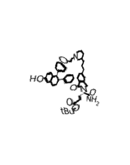 CC(C)(C)OC(=O)CC[C@@H](C(N)=O)N1Cc2cc(CCCC3CCCN(CCOc4ccc([C@@H]5c6ccc(O)cc6CC[C@@H]5c5ccccc5)cc4)C3)ccc2C1=O